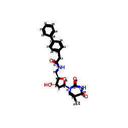 CCc1cn([C@H]2C[C@H](O)[C@@H](CNC(=O)Cc3ccc(-c4ccccc4)cc3)O2)c(=O)[nH]c1=O